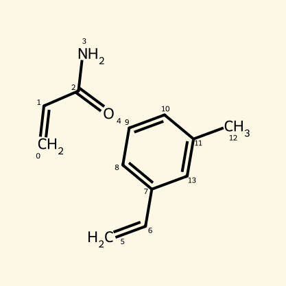 C=CC(N)=O.C=Cc1cccc(C)c1